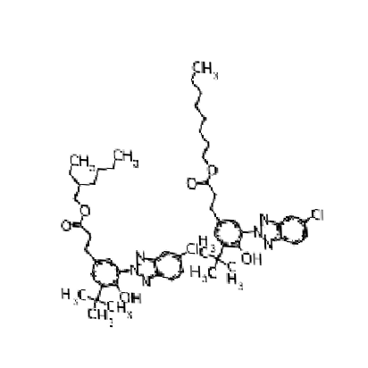 CCCCC(CC)COC(=O)CCc1cc(-n2nc3ccc(Cl)cc3n2)c(O)c(C(C)(C)C)c1.CCCCCCCCOC(=O)CCc1cc(-n2nc3ccc(Cl)cc3n2)c(O)c(C(C)(C)C)c1